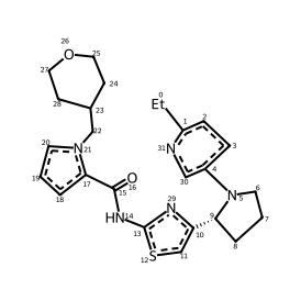 CCc1ccc(N2CCC[C@@H]2c2csc(NC(=O)c3cccn3CC3CCOCC3)n2)cn1